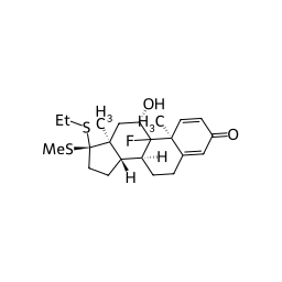 CCS[C@@]1(SC)CC[C@H]2[C@@H]3CCC4=CC(=O)C=C[C@]4(C)C3(F)[C@@H](O)C[C@@]21C